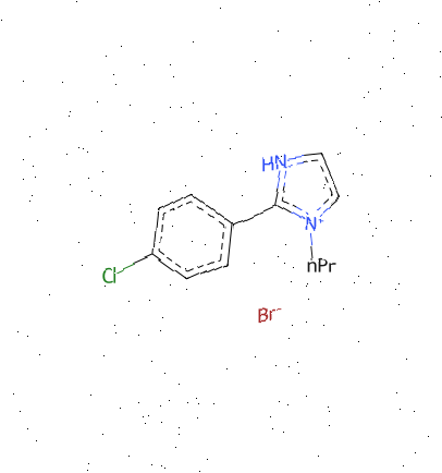 CCC[n+]1cc[nH]c1-c1ccc(Cl)cc1.[Br-]